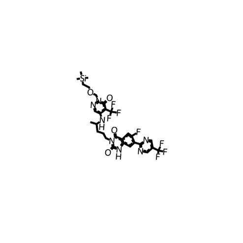 CC(CCCn1c(=O)[nH]c2cc(-c3ncc(C(F)(F)F)cn3)c(F)cc2c1=O)Nc1cnn(COCC[Si](C)(C)C)c(=O)c1C(F)(F)F